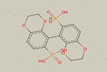 O=P(O)(O)c1ccc2c(c1-c1c(P(=O)(O)O)ccc3c1OCCO3)OCCO2